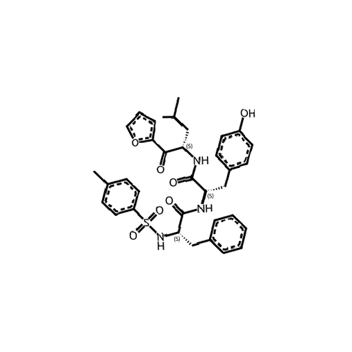 Cc1ccc(S(=O)(=O)N[C@@H](Cc2ccccc2)C(=O)N[C@@H](Cc2ccc(O)cc2)C(=O)N[C@@H](CC(C)C)C(=O)c2ccco2)cc1